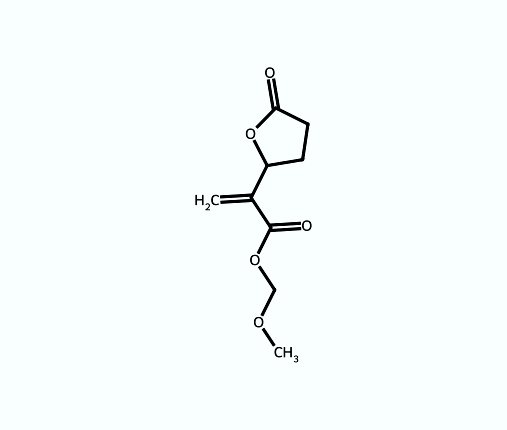 C=C(C(=O)OCOC)C1CCC(=O)O1